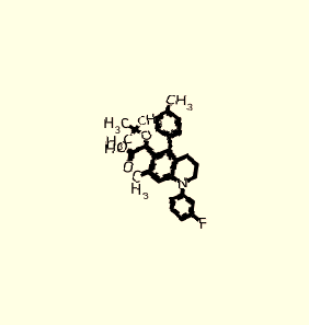 Cc1ccc(-c2c3c(cc(C)c2C(OC(C)(C)C)C(=O)O)N(c2cccc(F)c2)CCC3)cc1